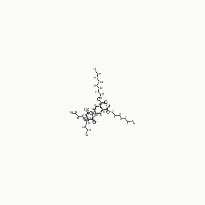 CCCCCCCCOC(=O)c1ccccc1C(=O)OCCCCCCCC.CCC[CH2][Sn+2][CH2]CCC.O=C([O-])/C=C\C(=O)[O-]